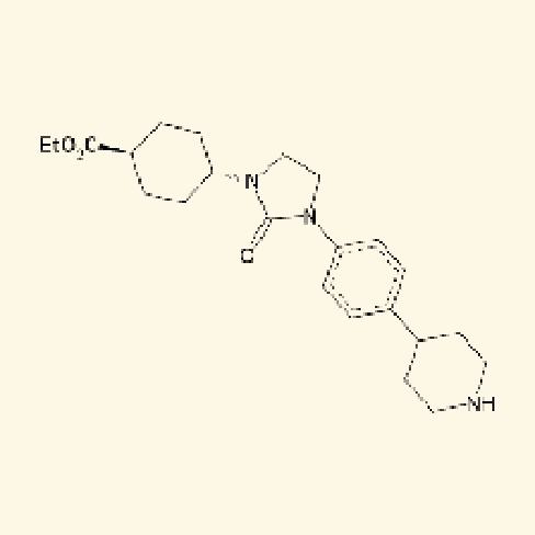 CCOC(=O)[C@H]1CC[C@H](N2CCN(c3ccc(C4CCNCC4)cc3)C2=O)CC1